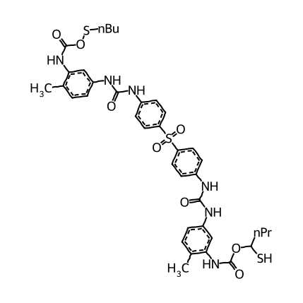 CCCCSOC(=O)Nc1cc(NC(=O)Nc2ccc(S(=O)(=O)c3ccc(NC(=O)Nc4ccc(C)c(NC(=O)OC(S)CCC)c4)cc3)cc2)ccc1C